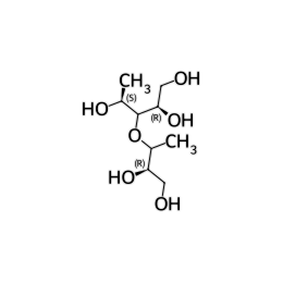 CC(OC([C@H](C)O)[C@H](O)CO)[C@H](O)CO